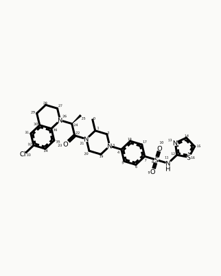 CC1CN(c2ccc(S(=O)(=O)Nc3nccs3)cc2)CCN1C(=O)[C@H](C)N1CCCc2cc(Cl)ccc21